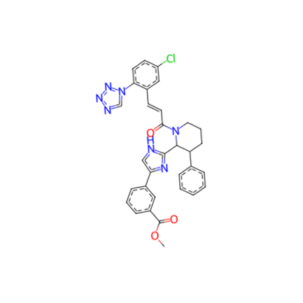 COC(=O)c1cccc(-c2c[nH]c(C3C(c4ccccc4)CCCN3C(=O)/C=C/c3cc(Cl)ccc3-n3cnnn3)n2)c1